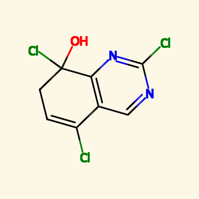 OC1(Cl)CC=C(Cl)c2cnc(Cl)nc21